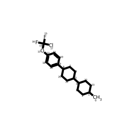 CC1CCC(C2CCC(c3ccc(OC(F)(F)Cl)cc3)CC2)CC1